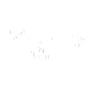 CS(=O)(=O)c1ccc2c(c1)CCN(C(=O)O)C2C(=O)Nc1ccc(-c2ccc(C(O)(C(F)(F)F)C(F)(F)F)cc2)c(Cl)c1